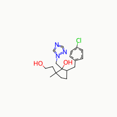 CC1(CCO)CCC(Cc2ccc(Cl)cc2)C1(O)Cn1cncn1